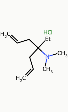 C=CCC(CC)(CC=C)N(C)C.Cl